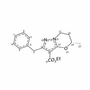 CCOC(=O)c1c(Cc2ccccc2)nn2c1O[C@@H](C)CC2